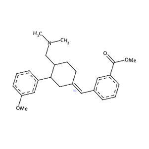 COC(=O)c1cccc(/C=C2\CCC(CN(C)C)C(c3cccc(OC)c3)C2)c1